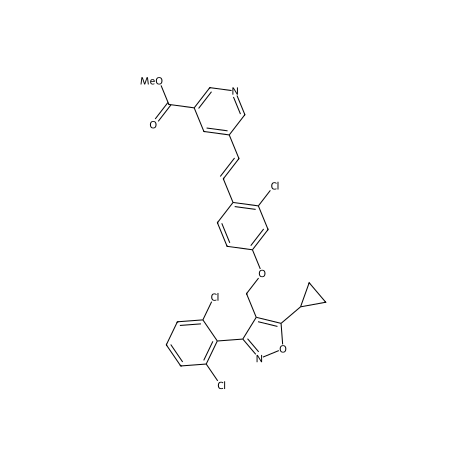 COC(=O)c1cncc(/C=C/c2ccc(OCc3c(-c4c(Cl)cccc4Cl)noc3C3CC3)cc2Cl)c1